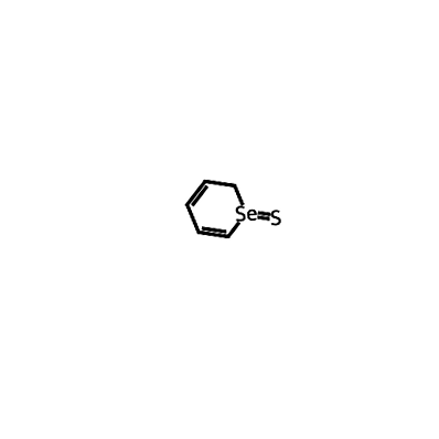 S=[Se]1C=CC=CC1